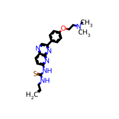 C=CCNC(=S)Nc1ccc2ncc(-c3ccc(OCCN(C)C)cc3)nc2n1